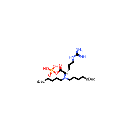 CCCCCCCCCCCCCCN(CCCCCCCCCCCCCC)[C@@H](CCCNC(=N)N)C(=O)OP(=O)(O)O